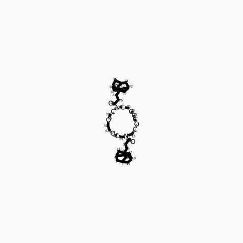 O=C(CCC12CC3CC(CC(C3)C1)C2)N1CCOCCOCCN(C(=O)CCC23CC4CC(CC(C4)C2)C3)CCOCCOCC1